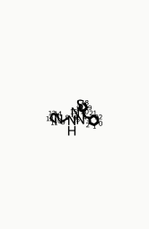 c1ccc(-c2nc(NCCN3CCCC3)nc3sccc23)cc1